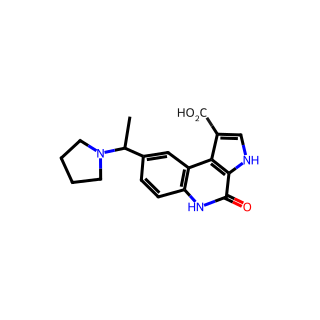 CC(c1ccc2[nH]c(=O)c3[nH]cc(C(=O)O)c3c2c1)N1CCCC1